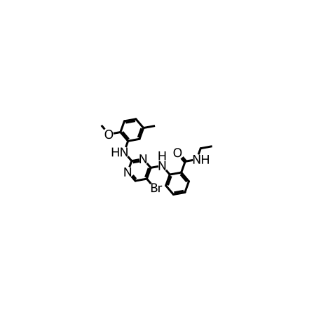 CCNC(=O)c1ccccc1Nc1nc(Nc2cc(C)ccc2OC)ncc1Br